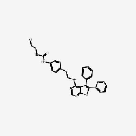 O=C(NCCCl)Nc1ccc(CCNc2ncnc3oc(-c4ccccc4)c(-c4ccccc4)c23)cc1